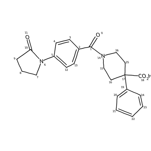 O=C(c1ccc(N2CCCC2=O)cc1)N1CCC(C(=O)O)(c2ccccc2)CC1